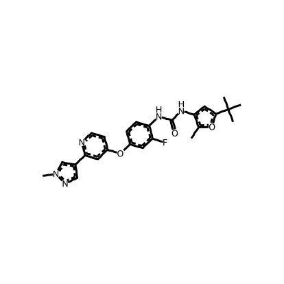 Cc1oc(C(C)(C)C)cc1NC(=O)Nc1ccc(Oc2ccnc(-c3cnn(C)c3)c2)cc1F